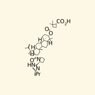 C=C(C)[C@@H]1CC[C@]2(C(=O)N3CCC[C@H]3c3nc(C(C)C)c[nH]3)CC[C@]3(C)[C@H](CC[C@@H]4[C@@]5(C)CC[C@H](OC(=O)[C@H]6C[C@@H](C(=O)O)C6(C)C)C(C)(C)[C@@H]5CC[C@]43C)[C@@H]12